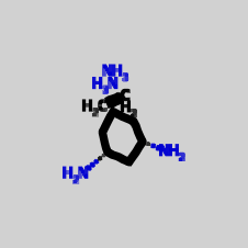 C=C.N.N.N[C@@H]1CCC[C@H](N)C1